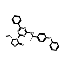 CC[C@H]1COC(=O)N1c1nc(N[C@@H](C)c2ccc(Oc3ccccc3)cc2)nc(-c2ccccc2)n1